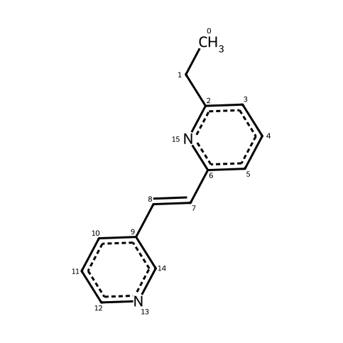 CCc1cccc(C=Cc2cccnc2)n1